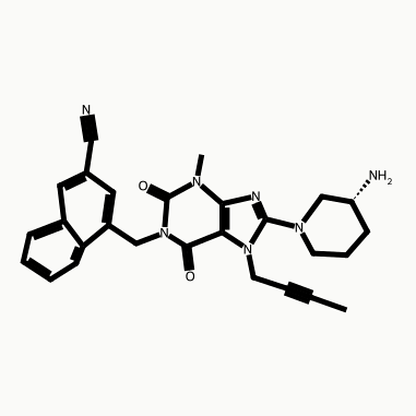 CC#CCn1c(N2CCC[C@@H](N)C2)nc2c1c(=O)n(Cc1cc(C#N)cc3ccccc13)c(=O)n2C